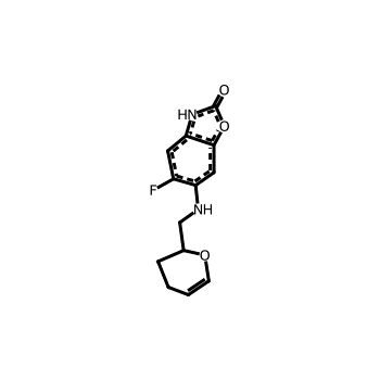 O=c1[nH]c2cc(F)c(NCC3CCC=CO3)cc2o1